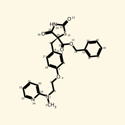 CN(CCOc1ccc(C[C@]2(C(=O)OCc3ccccc3)SC(=O)NC2=O)cc1)c1ccccn1